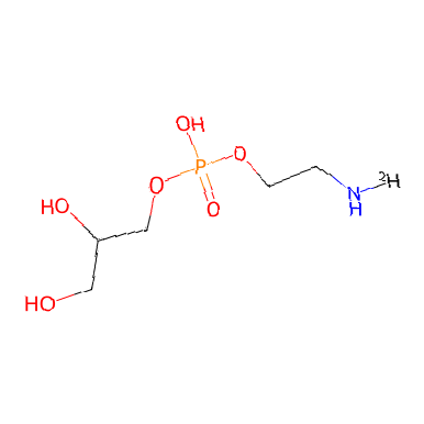 [2H]NCCOP(=O)(O)OCC(O)CO